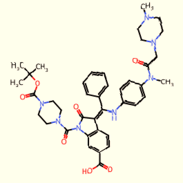 CN1CCN(CC(=O)N(C)c2ccc(NC(=C3C(=O)N(C(=O)N4CCN(C(=O)OC(C)(C)C)CC4)c4cc(C(=O)O)ccc43)c3ccccc3)cc2)CC1